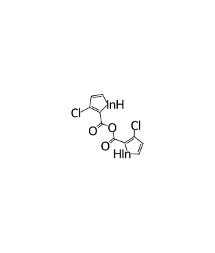 O=C(OC(=O)[C]1=C(Cl)C=[CH][InH]1)[C]1=C(Cl)C=[CH][InH]1